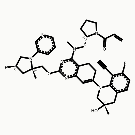 C#Cc1c(F)ccc2c1N(C1=Cc3nc(OC[C@]4(C)C[C@@H](F)CN4c4cccnc4)nc(N(C)C[C@@H]4CCCN4C(=O)C=C)c3CC1)C[C@@](C)(O)C2